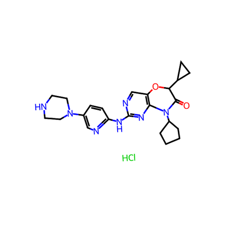 Cl.O=C1C(C2CC2)Oc2cnc(Nc3ccc(N4CCNCC4)cn3)nc2N1C1CCCC1